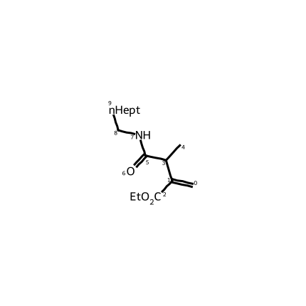 C=C(C(=O)OCC)C(C)C(=O)NCCCCCCCC